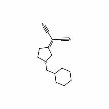 N#CC(C#N)=C1CCN(CC2CCCCC2)C1